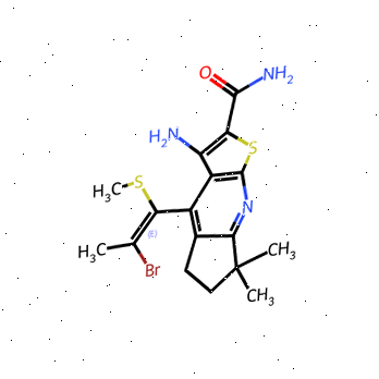 CS/C(=C(\C)Br)c1c2c(nc3sc(C(N)=O)c(N)c13)C(C)(C)CC2